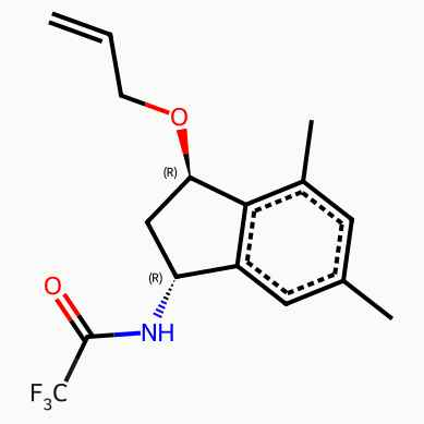 C=CCO[C@@H]1C[C@@H](NC(=O)C(F)(F)F)c2cc(C)cc(C)c21